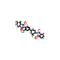 O=C1c2ccccc2C(=O)N1c1ccc(-c2ccc(N3C(=O)c4ccccc4C3=O)c(Cl)c2)cc1Cl